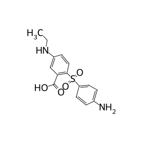 CCNc1ccc(S(=O)(=O)c2ccc(N)cc2)c(C(=O)O)c1